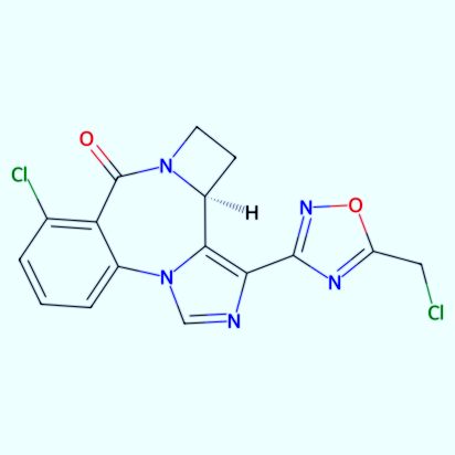 O=C1c2c(Cl)cccc2-n2cnc(-c3noc(CCl)n3)c2[C@@H]2CCN12